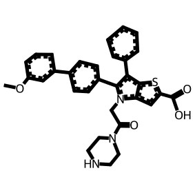 COc1cccc(-c2ccc(-c3c(-c4ccccc4)c4sc(C(=O)O)cc4n3CC(=O)N3CCNCC3)cc2)c1